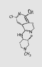 CN1CC[C@@H](Nc2nccc3c(O)nc(Cl)cc23)[C@@H](F)C1